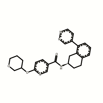 O=C(N[C@@H]1CCc2cccc(-c3ccnnc3)c2C1)c1ccc(OC2CCCOC2)nc1